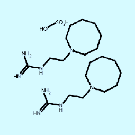 N=C(N)NCCN1CCCCCCC1.N=C(N)NCCN1CCCCCCC1.O=S(=O)(O)O